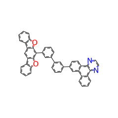 c1cc(-c2cccc(-c3c4oc5ccccc5c4cc4c3oc3ccccc34)c2)cc(-c2ccc3c(c2)c2ccccc2c2nccnc32)c1